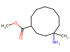 COC(=O)C1CCCCCCC(C)(N)CC1